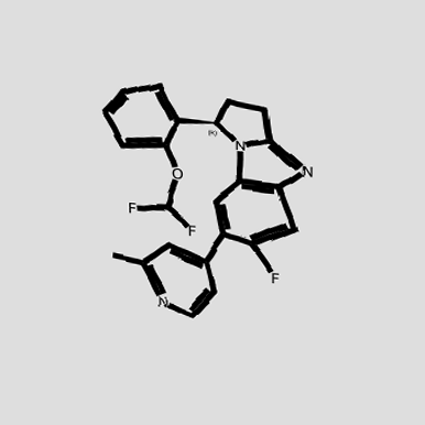 Cc1cc(-c2cc3c(cc2F)nc2n3[C@@H](c3ccccc3OC(F)F)CC2)ccn1